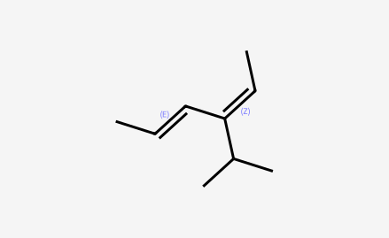 C/C=C(\C=C\C)C(C)C